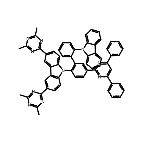 Cc1nc(C)nc(-c2ccc3c(c2)c2cc(-c4nc(C)nc(C)n4)ccc2n3-c2ccc(-c3nc(-c4ccccc4)cc(-c4ccccc4)n3)cc2-c2ccccc2-n2c3ccccc3c3ccccc32)n1